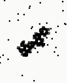 COc1cc(CNc2nc(F)nc3c2ncn3C2CCCCO2)cc(OC)c1OC